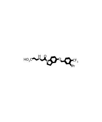 CC(C)c1cc(COc2ccc3c(c2)CCN3C(=O)CNCCC(=O)O)ccc1C(F)(F)F